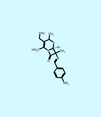 CC(=O)OCC1=C(C(=O)O)N2C(=O)C(C)(N=Cc3ccc([N+](=O)[O-])cc3)[C@@H]2SC1C